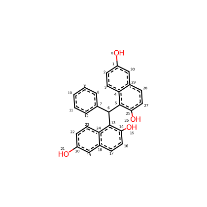 Oc1ccc2c(C(c3ccccc3)c3c(O)ccc4cc(O)ccc34)c(O)ccc2c1